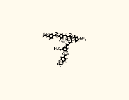 COc1cc(C=CC(=O)CC(c2ccc(N)cc2N)C(O)(O)C(=O)C=Cc2ccc(OC(=O)c3ccc(OC(F)(F)F)cc3)c(OC)c2)ccc1OC(=O)c1ccc(OC(F)(F)F)cc1